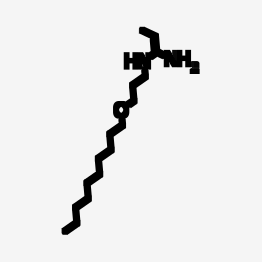 CC=C(N)NCCCOCCCCCCCCCC